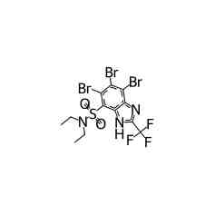 CCN(CC)S(=O)(=O)c1c(Br)c(Br)c(Br)c2nc(C(F)(F)F)[nH]c12